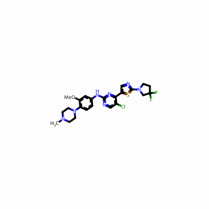 COc1cc(Nc2ncc(Cl)c(-c3cnc(N4CCC(F)(F)C4)s3)n2)ccc1N1CCN(C)CC1